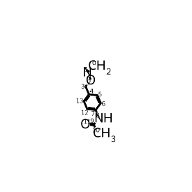 C=NOCc1ccc(NC(C)=O)cc1